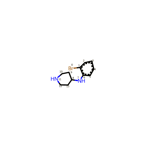 Brc1ccccc1NC1CCNCC1